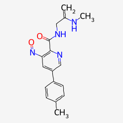 C=C(CNC(=O)c1ncc(-c2ccc(C)cc2)cc1N=O)NC